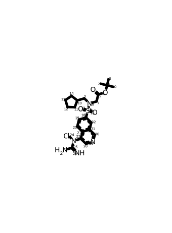 CC(C)(C)OC(=O)CN(CC1CCCC1)S(=O)(=O)c1ccc2c(N(Cl)C(=N)N)cncc2c1